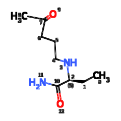 CC[C@H](NCCCC(C)=O)C(N)=O